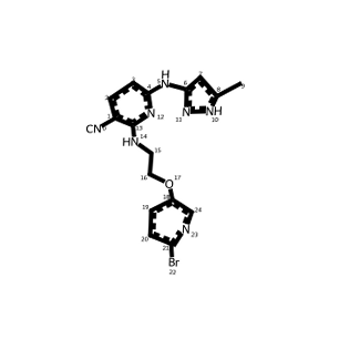 [C-]#[N+]c1ccc(Nc2cc(C)[nH]n2)nc1NCCOc1ccc(Br)nc1